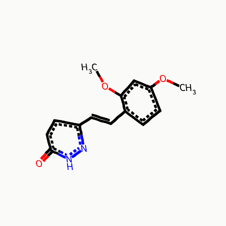 COc1ccc(C=Cc2ccc(=O)[nH]n2)c(OC)c1